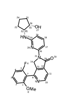 COc1cccc(F)c1-c1nccc2c1CN(c1cccc(N[C@@H]3CCC[C@@H]3O)n1)C2=O